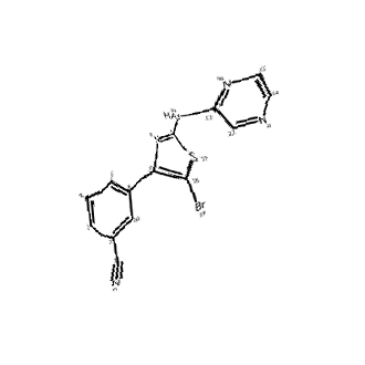 N#Cc1cccc(-c2nc([AsH]c3cnccn3)sc2Br)c1